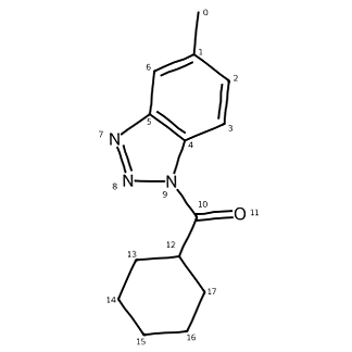 Cc1ccc2c(c1)nnn2C(=O)C1CCCCC1